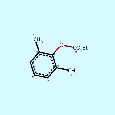 C[CH]OC(=O)Oc1c(C)cccc1C